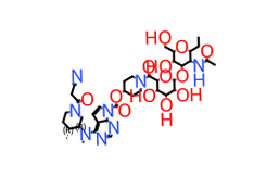 CCC1OC(CO)C(O)C(OC2OC(C(=O)N3CCC(OC(=O)n4ccc5c(N(C)[C@H]6CN(C(=O)CC#N)CC[C@H]6C)ncnc54)CC3)C(O)C(O)C2O)C1NC(C)=O